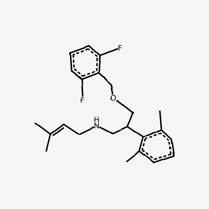 CC(C)=CCNCC(COCc1c(F)cccc1F)c1c(C)cccc1C